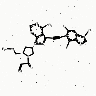 C=CC(=O)N1C[C@@H](n2nc(C#Cc3c(F)cc4c(ncn4C)c3F)c3c(N)ncnc32)C[C@@H]1COC(F)(F)F